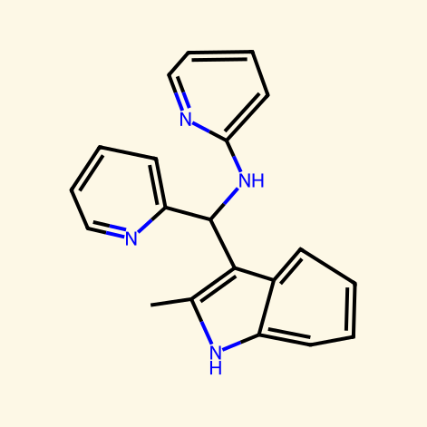 Cc1[nH]c2ccccc2c1C(Nc1ccccn1)c1ccccn1